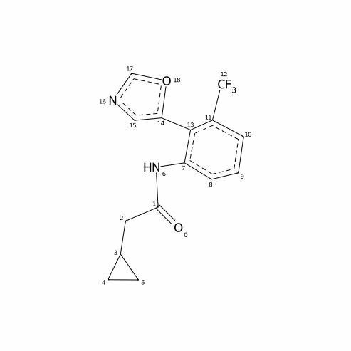 O=C(CC1CC1)Nc1cccc(C(F)(F)F)c1-c1cnco1